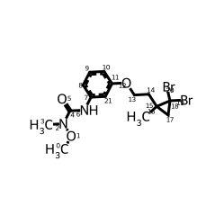 CON(C)C(=O)Nc1cccc(OCCC2(C)CC2(Br)Br)c1